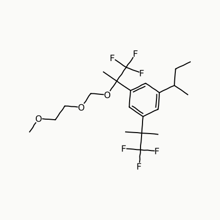 CCC(C)c1cc(C(C)(C)C(F)(F)F)cc(C(C)(OCOCCOC)C(F)(F)F)c1